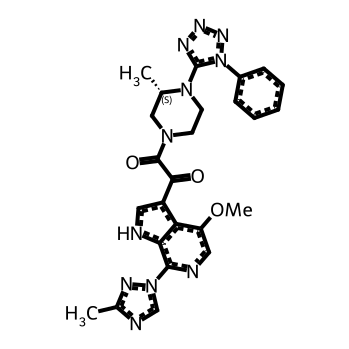 COc1cnc(-n2cnc(C)n2)c2[nH]cc(C(=O)C(=O)N3CCN(c4nnnn4-c4ccccc4)[C@@H](C)C3)c12